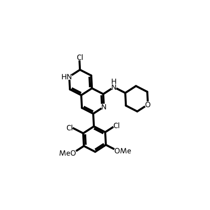 COc1cc(OC)c(Cl)c(-c2cc3c(c(NC4CCOCC4)n2)=CC(Cl)NC=3)c1Cl